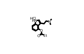 CCC(=O)Oc1cccc2[nH]cc(CCN(C)C)c12.Cl